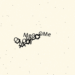 COc1ccc(CNc2ccc(C3(C)CC(C)(C)N(C4=CCOCC4)C3=O)cn2)c(OC)c1